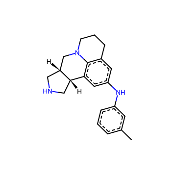 Cc1cccc(Nc2cc3c4c(c2)[C@@H]2CNC[C@@H]2CN4CCC3)c1